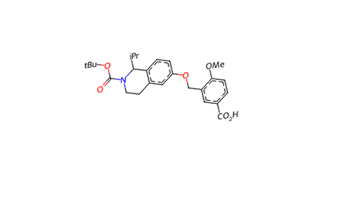 COc1ccc(C(=O)O)cc1COc1ccc2c(c1)CCN(C(=O)OC(C)(C)C)C2C(C)C